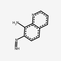 N=Nc1ccc2cccnc2c1N